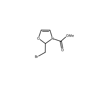 COC(=O)N1C=COC1CBr